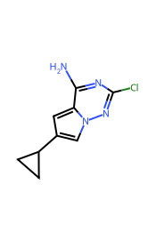 Nc1nc(Cl)nn2cc(C3CC3)cc12